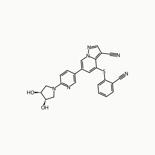 N#Cc1ccccc1Sc1cc(-c2ccc(N3C[C@@H](O)[C@@H](O)C3)nc2)cn2ncc(C#N)c12